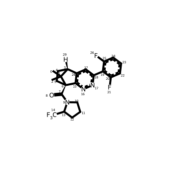 CC1(C)[C@@H]2CC[C@@]1(C(=O)N1CCCC1C(F)(F)F)c1nnc(-c3c(F)cccc3F)cc12